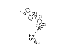 CN(CCCCNC(=O)OC(C)(C)C)S(=O)(=O)c1cc(CNC2(c3cnccc3-c3ccccc3OC3CC3)CC2)c(Cl)cc1Cl